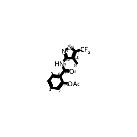 CC(=O)Oc1ccccc1C(=O)Nc1nsc(C(F)(F)F)c1C